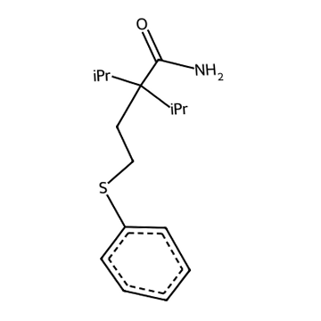 CC(C)C(CCSc1ccccc1)(C(N)=O)C(C)C